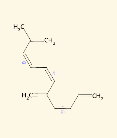 C=C/C=C\C(=C)/C=C\C=C/C(=C)C